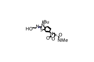 CNC(=O)[C@H]1CN(c2ccc3c(c2)s/c(=N\CCO)n3C(C)(C)C)C(=O)O1